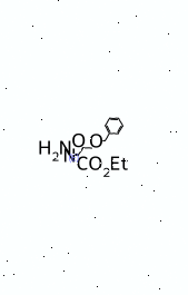 CCOC(=O)/C(=N/N)C(=O)COCc1ccccc1